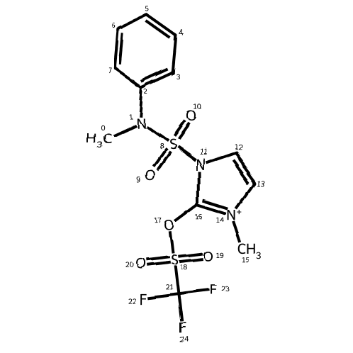 CN(c1ccccc1)S(=O)(=O)n1cc[n+](C)c1OS(=O)(=O)C(F)(F)F